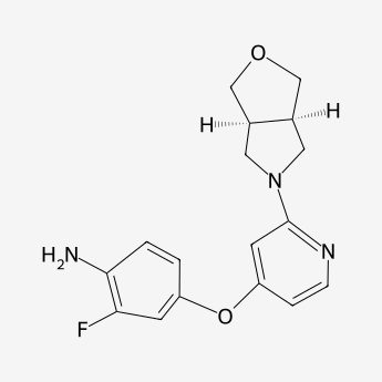 Nc1ccc(Oc2ccnc(N3C[C@H]4COC[C@H]4C3)c2)cc1F